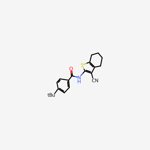 CC(C)(C)c1ccc(C(=O)Nc2sc3c(c2C#N)CCCC3)cc1